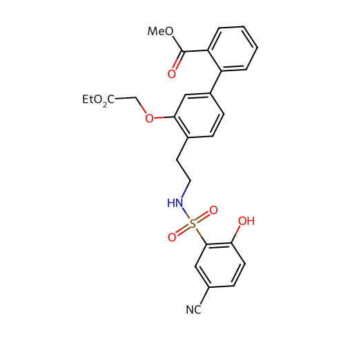 CCOC(=O)COc1cc(-c2ccccc2C(=O)OC)ccc1CCNS(=O)(=O)c1cc(C#N)ccc1O